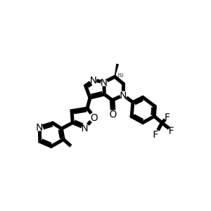 Cc1ccncc1-c1cc(-c2cnn3c2C(=O)N(c2ccc(C(F)(F)F)cc2)C[C@@H]3C)on1